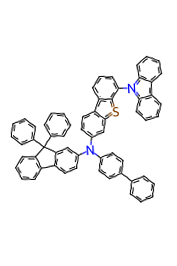 c1ccc(-c2ccc(N(c3ccc4c(c3)C(c3ccccc3)(c3ccccc3)c3ccccc3-4)c3ccc4c(c3)sc3c(-n5c6ccccc6c6ccccc65)cccc34)cc2)cc1